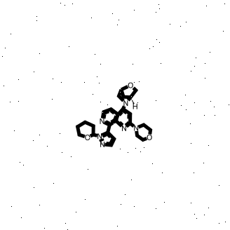 c1cc2c(N3CC4C[C@H]3CO4)cc(N3CCOCC3)nc2c(-c2ccnn2C2CCCCO2)n1